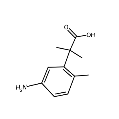 Cc1ccc(N)cc1C(C)(C)C(=O)O